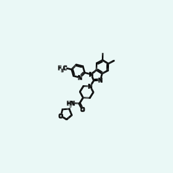 Cc1cc2nc(N3CCC(C(=O)N[C@@H]4CCOC4)CC3)n(-c3ccc(C(F)(F)F)cn3)c2cc1C